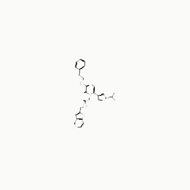 CC(C)n1cc(-c2cnc(NCCc3ccccc3)c(=O)n2CC(=O)NCc2cc3cnccc3[nH]2)cn1